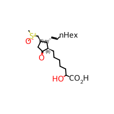 CCCCCCC=C[C@H]1[C@H](C[S+](C)[O-])CC(=O)[C@@H]1CCCCCC(O)C(=O)O